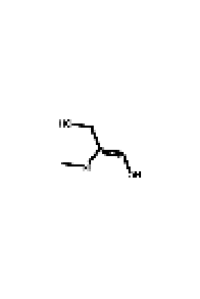 CN/C(=C\O)CO